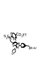 CCOC(=O)c1cnc(N(C)Cc2cc3nc(-c4ccc(CNC(C)=O)cc4)nc(N4CCOCC4)c3s2)nc1